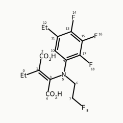 CCC(C(=O)O)=C(C(=O)O)N(CCF)c1cc(CC)c(F)c(F)c1F